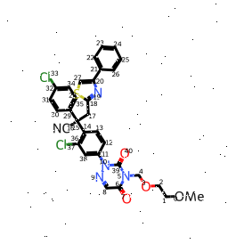 COCCOCn1c(=O)cnn(-c2ccc(C(C#N)(Cc3nc(-c4ccccc4)cs3)c3ccc(Cl)cc3)c(Cl)c2)c1=O